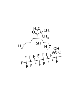 CCCCC(S)(CCCC)C(=O)C(C)(C)C.O=S(=O)(O)C(F)(F)C(F)(F)C(F)(F)C(F)(F)C(F)(F)C(F)(F)C(F)(F)C(F)(F)F